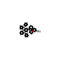 CC(C)(C)c1ccc(C23CCCCC2(C)N(c2cc4c5c(c2)N(c2ccccc2)c2ccccc2B5c2ccccc2N4c2ccccc2)c2ccccc23)cc1